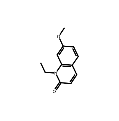 CCn1c(=O)ccc2ccc(OC)cc21